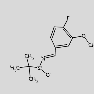 COc1cc(C=N[S+]([O-])C(C)(C)C)ccc1F